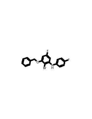 Fc1ccc(Nc2cc(F)cc(OCc3ccccc3)c2Br)cc1